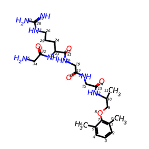 Cc1cccc(C)c1OCC(C)NC(=O)CNC(=O)CNC(=O)C(CCCNC(=N)N)NC(=O)CN